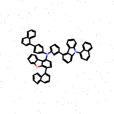 c1cc(-c2cccc3c2c2ccccc2n3-c2cccc3ccccc23)cc(N(c2ccc(-c3cccc4ccccc34)cc2)c2ccc(-c3cccc4ccccc34)c3oc4ccccc4c23)c1